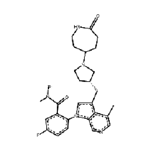 Cc1cncc2c1c(C[C@@H]1CCN(C3CCNC(=O)CC3)C1)cn2-c1ccc(F)cc1C(=O)N(C)C(C)C